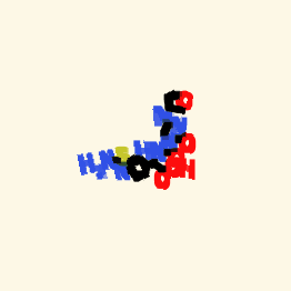 Nc1nc2ccc(C(NC(=O)N3CC(N=C4C=COC4)=NC3=O)C(=O)O)cc2s1